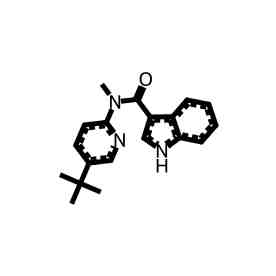 CN(C(=O)c1c[nH]c2ccccc12)c1ccc(C(C)(C)C)cn1